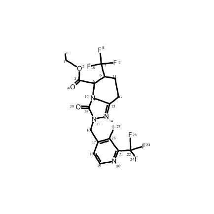 CCOC(=O)C1C(C(F)(F)F)CCc2nn(Cc3ccnc(C(F)(F)F)c3F)c(=O)n21